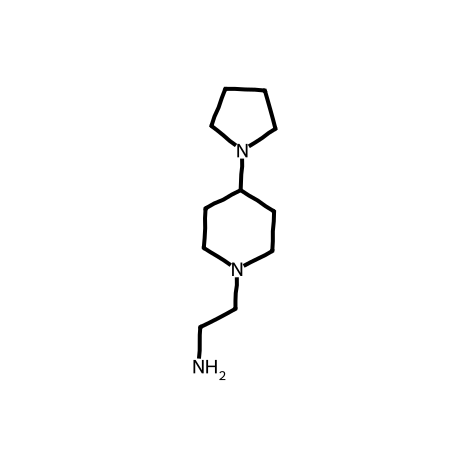 NCCN1CCC(N2CCCC2)CC1